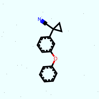 N#CC1(c2cccc(Oc3ccccc3)c2)CC1